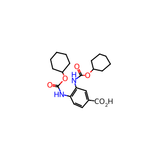 O=C(Nc1ccc(C(=O)O)cc1NC(=O)OC1CCCCC1)OC1CCCCC1